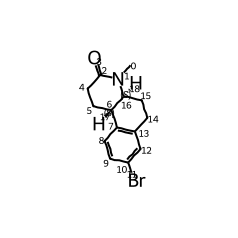 CN1C(=O)CC[C@H]2c3ccc(Br)cc3CC[C@@H]21